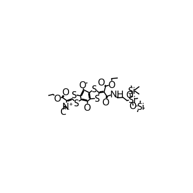 [C-]#[N+]C(C(=O)OCC)=C1Sc2c(OC)c3c(c(OC)c2S1)SC(=C(C(=O)NCCC[Si](C)(O[Si](C)(C)C)O[Si](C)(C)C)C(=O)OCC)S3